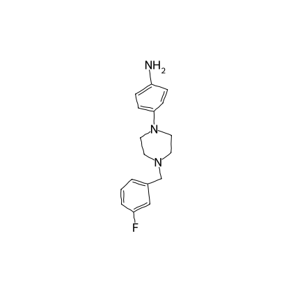 Nc1ccc(N2CCN(Cc3cccc(F)c3)CC2)cc1